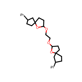 CC(C)C1CCC2(CCC(OCCOC3CCC4(CCC(C(C)C)C4)O3)O2)C1